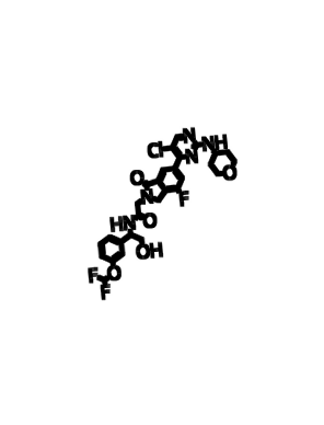 O=C(CN1Cc2c(F)cc(-c3nc(NC4CCOCC4)ncc3Cl)cc2C1=O)NC(CO)c1cccc(OC(F)F)c1